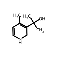 CC1=C(C(C)(C)O)CNC=C1